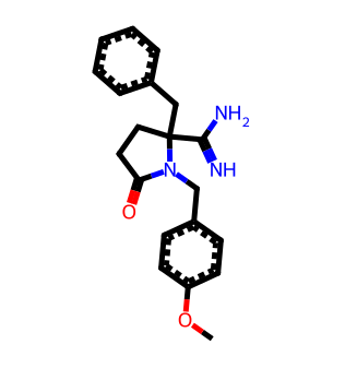 COc1ccc(CN2C(=O)CCC2(Cc2ccccc2)C(=N)N)cc1